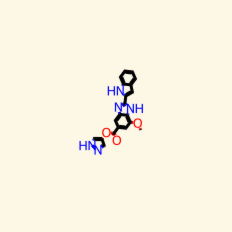 COc1cc(C(=O)Oc2cn[nH]c2)cc2nc(-c3cc4ccccc4[nH]3)[nH]c12